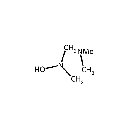 CN(C)O.CNC